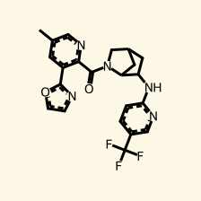 Cc1cnc(C(=O)N2CC3CC(Nc4ccc(C(F)(F)F)cn4)C2C3)c(-c2ncco2)c1